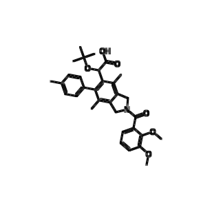 COc1cccc(C(=O)N2Cc3c(C)c(-c4ccc(C)cc4)c(C(OC(C)(C)C)C(=O)O)c(C)c3C2)c1OC